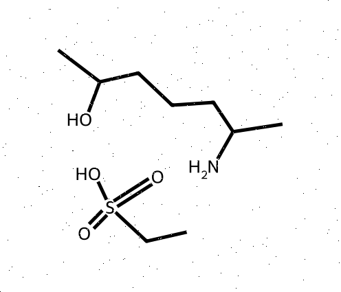 CC(N)CCCC(C)O.CCS(=O)(=O)O